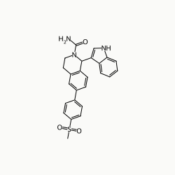 CS(=O)(=O)c1ccc(-c2ccc3c(c2)CCN(C(N)=O)C3c2c[nH]c3ccccc23)cc1